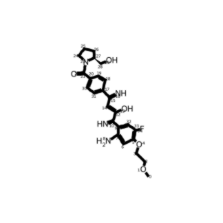 COCCOc1cc(N)c(C(=N)/C(O)=C/C(=N)c2ccc(C(=O)N3CCC[C@H]3CO)cc2)cc1F